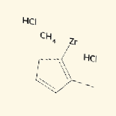 C.CC1=[C]([Zr])CC=C1.Cl.Cl